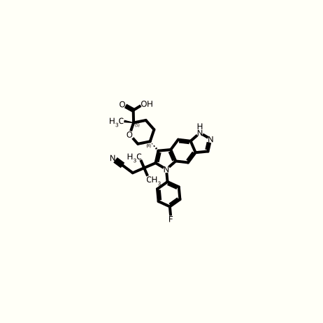 CC(C)(CC#N)c1c([C@H]2CC[C@@](C)(C(=O)O)OC2)c2cc3[nH]ncc3cc2n1-c1ccc(F)cc1